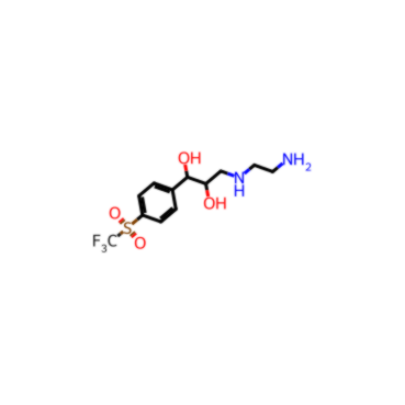 NCCNCC(O)C(O)c1ccc(S(=O)(=O)C(F)(F)F)cc1